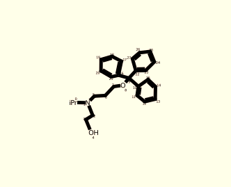 CC(C)N(CCO)CCCOC(c1ccccc1)(c1ccccc1)c1ccccc1